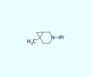 CC(C)N1CCC2(C)CC2C1